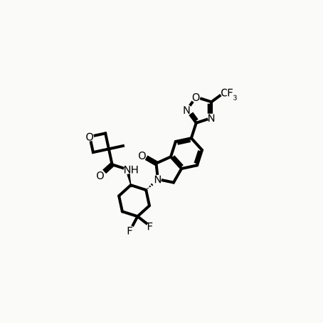 CC1(C(=O)N[C@@H]2CCC(F)(F)C[C@H]2N2Cc3ccc(-c4noc(C(F)(F)F)n4)cc3C2=O)COC1